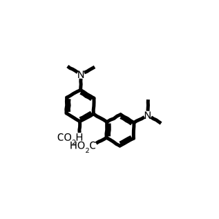 CN(C)c1ccc(C(=O)O)c(-c2cc(N(C)C)ccc2C(=O)O)c1